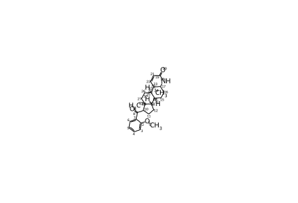 COc1ccccc1C(=O)C1CC[C@H]2[C@@H]3CCC4NC(=O)C=C[C@]4(C)[C@@H]3CC[C@]12C